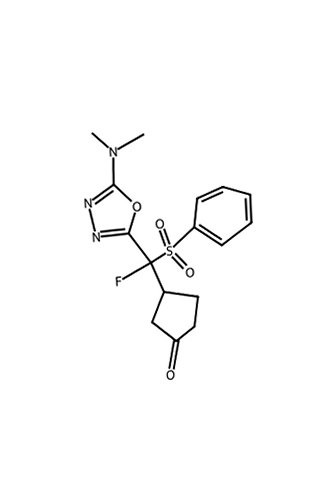 CN(C)c1nnc(C(F)(C2CCC(=O)C2)S(=O)(=O)c2ccccc2)o1